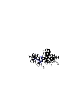 C=CC(=C\N=C(/CCC)NC)/C(=C\CC)/C=C(\C=C/C)c1cc2c(-c3cc(F)c4c(c3C)CCCO4)c(CC(=O)O)c(C)nc2n1C